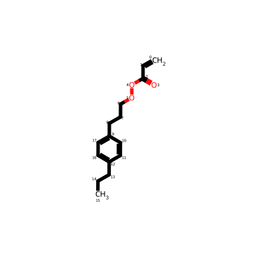 C=CC(=O)OOCCCc1ccc(CCC)cc1